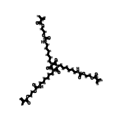 C=C(C)C(=O)OCCOC(=O)NCCCCCCn1c(=O)n(CCCCCCNC(=O)OCCOC(=O)C(=C)C)c(=O)n(CCCCCCNC(=O)OCCOC(=O)C(=C)C)c1=O